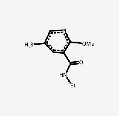 Bc1cnc(OC)c(C(=O)NCC)c1